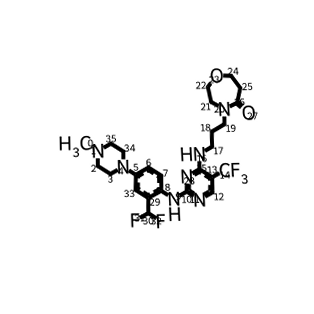 CN1CCN(c2ccc(Nc3ncc(C(F)(F)F)c(NCCCN4CCOCCC4=O)n3)c(C(F)F)c2)CC1